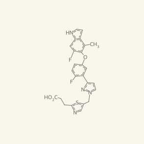 Cc1c(Oc2ccc(F)c(-c3ccn(Cc4cnc(CCC(=O)O)s4)n3)c2)c(F)cc2[nH]ccc12